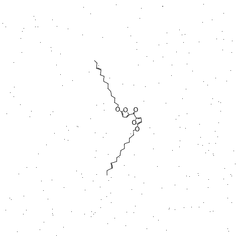 CC/C=C/CCCCCCCCCCOc1ccc(C(=O)c2ccc(OCCCCCCCCCC/C=C/CC)o2)o1